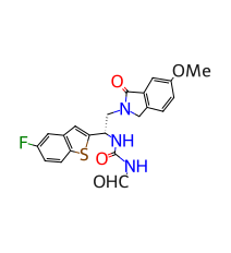 COc1ccc2c(c1)C(=O)N(C[C@H](NC(=O)NC=O)c1cc3cc(F)ccc3s1)C2